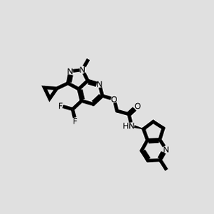 Cc1ccc2c(n1)CC[C@@H]2NC(=O)COc1cc(C(F)F)c2c(C3CC3)nn(C)c2n1